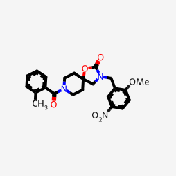 COc1ccc([N+](=O)[O-])cc1CN1CC2(CCN(C(=O)c3ccccc3C)CC2)OC1=O